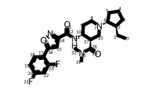 CC[C@@H]1CCC[C@H]1N1CC[C@@H](NC(=O)c2cc(-c3ccc(F)cc3F)on2)[C@H](C(=O)N(C)C)C1